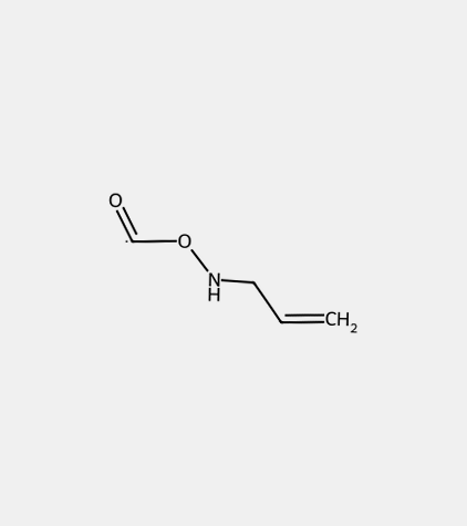 C=CCNO[C]=O